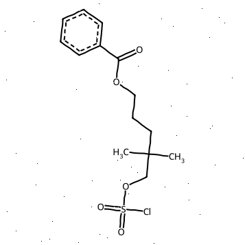 CC(C)(CCCOC(=O)c1ccccc1)COS(=O)(=O)Cl